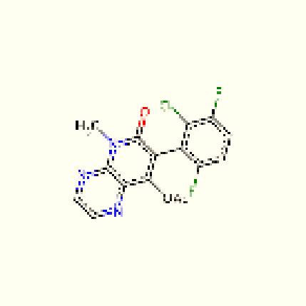 CC(=O)Oc1c(-c2c(F)ccc(F)c2Cl)c(=O)n(C)c2nccnc12